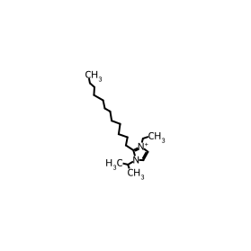 CCCCCCCCCCCCc1n(C(C)C)cc[n+]1CC